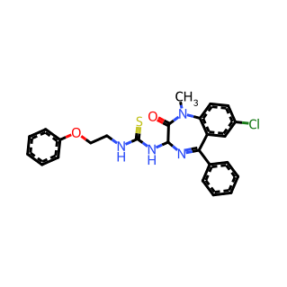 CN1C(=O)C(NC(=S)NCCOc2ccccc2)N=C(c2ccccc2)c2cc(Cl)ccc21